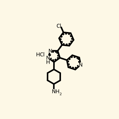 Cl.NC1CCC(c2[nH]nc(-c3cccc(Cl)c3)c2-c2ccncc2)CC1